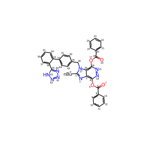 CCCCc1nc2c(OC(=O)c3ccccc3)nnc(OC(=O)c3ccccc3)c2n1Cc1ccc(-c2ccccc2-c2nnn[nH]2)cc1